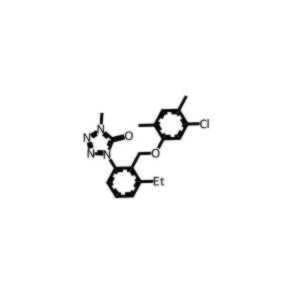 CCc1cccc(-n2nnn(C)c2=O)c1COc1cc(Cl)c(C)cc1C